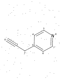 C#CCc1ccncc1